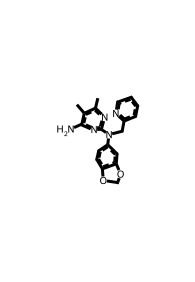 Cc1nc(N(Cc2ccccn2)c2ccc3c(c2)OCO3)nc(N)c1C